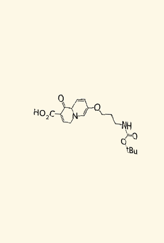 CC(C)(C)OC(=O)NCCCOC1=CN2CC=C(C(=O)O)C(=O)C2C=C1